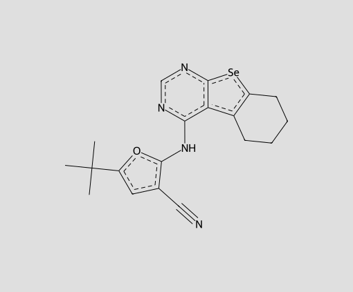 CC(C)(C)c1cc(C#N)c(Nc2ncnc3[se]c4c(c23)CCCC4)o1